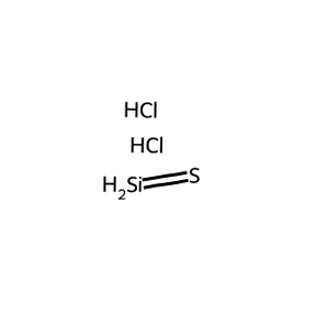 Cl.Cl.[SiH2]=S